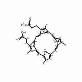 CC1=C(CCC(=O)O)c2cc3nc(cc4[nH]c(cc4C)cc4[nH]c(cc1n2)cc4C)C(C)=C3CCC(=O)O